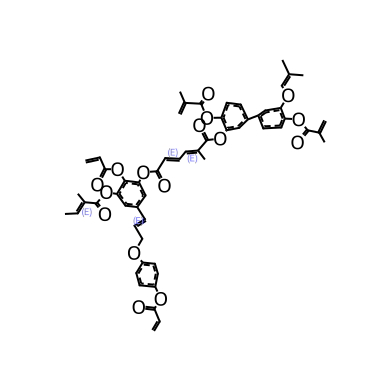 C=CC(=O)Oc1ccc(OC/C=C/c2cc(OC(=O)/C=C/C=C(\C)C(=O)Oc3cc(-c4ccc(OC(=O)C(=C)C)c(OC=C(C)C)c4)ccc3OC(=O)C(=C)C)c(OC(=O)C=C)c(OC(=O)/C(C)=C/C)c2)cc1